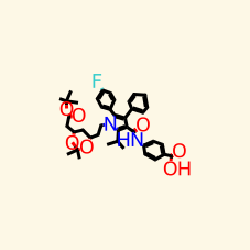 CC(C)c1c(C(=O)Nc2ccc(C(=O)O)cc2)c(-c2ccccc2)c(-c2ccc(F)cc2)n1CCC1CC(CC(=O)OC(C)(C)C)OC(C)(C)O1